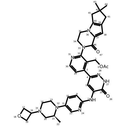 CC(=O)OCc1c(-c2cc(Nc3ccc(N4CCN(C5COC5)C[C@@H]4C)cn3)c(=O)[nH]n2)ccnc1N1CCn2c(cc3c2CC(C)(C)C3)C1=O